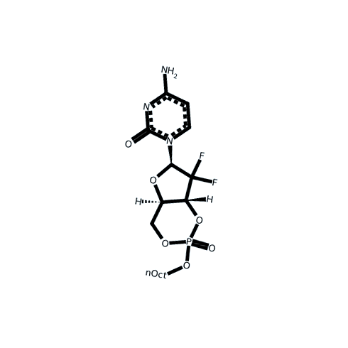 CCCCCCCCOP1(=O)OC[C@H]2O[C@@H](n3ccc(N)nc3=O)C(F)(F)[C@@H]2O1